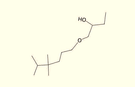 CCC(O)COCCCC(C)(C)C(C)C